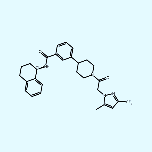 Cc1cc(C(F)(F)F)nn1CC(=O)N1CCC(c2cccc(C(=O)N[C@@H]3CCCc4ccccc43)c2)CC1